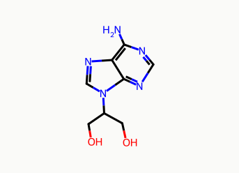 Nc1ncnc2c1ncn2C(CO)CO